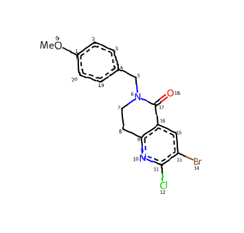 COc1ccc(CN2CCc3nc(Cl)c(Br)cc3C2=O)cc1